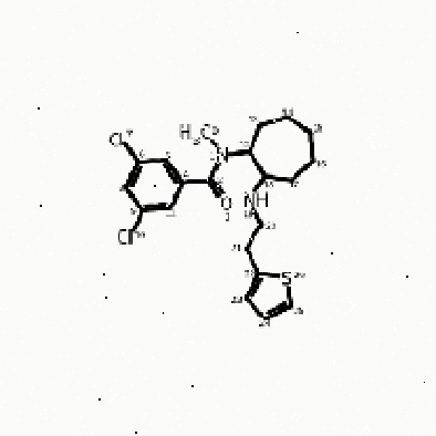 CN(C(=O)c1cc(Cl)cc(Cl)c1)C1CCCCCC1NCCc1cccs1